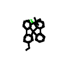 CCc1ccc2c(c1)C1(c3ccccc3-c3cccc(Cl)c31)c1c-2cccc1C(C)(C)C